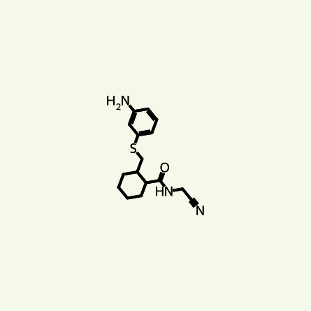 N#CCNC(=O)C1CCCCC1CSc1cccc(N)c1